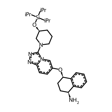 CC(C)[Si](O[C@H]1CCCN(c2nnc3ccc(O[C@@H]4CC[C@H](N)c5ccccc54)cn23)C1)(C(C)C)C(C)C